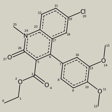 CCOC(=O)c1c(-c2ccc(OC)c(OC)c2)c2cc(Cl)ccc2n(C)c1=O